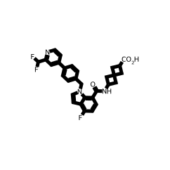 O=C(NC1CC2(C1)CC(C(=O)O)C2)c1ccc(F)c2ccn(Cc3ccc(-c4ccnc(C(F)F)c4)cc3)c12